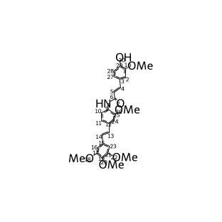 COc1cc(/C=C/C(=O)Nc2ccc(/C=C/c3cc(OC)c(OC)c(OC)c3)cc2OC)ccc1O